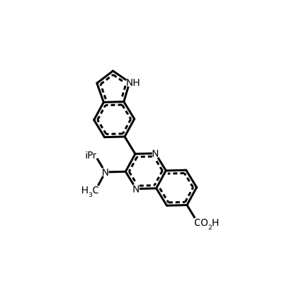 CC(C)N(C)c1nc2cc(C(=O)O)ccc2nc1-c1ccc2cc[nH]c2c1